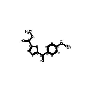 COC(=O)C1=CC=C(C(=O)c2ccc(OC)cc2)C1